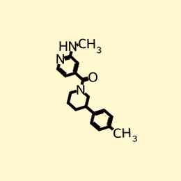 CNc1cc(C(=O)N2CCCC(c3ccc(C)cc3)C2)ccn1